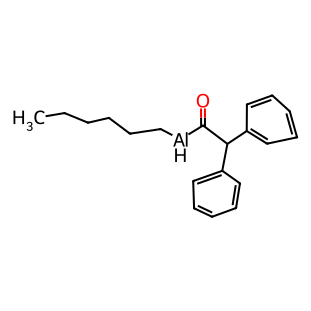 CCCCC[CH2][AlH][C](=O)C(c1ccccc1)c1ccccc1